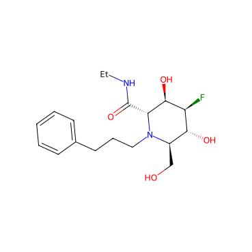 CCNC(=O)[C@@H]1[C@@H](O)[C@@H](F)[C@H](O)[C@@H](CO)N1CCCc1ccccc1